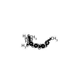 CCCCN1CCC(Oc2ccc(C(=O)Nc3ccc(Oc4ccc(NC(=O)NC(C)C)c(OC)c4)cc3)cc2)CC1